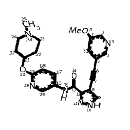 COc1cncc(C#Cc2c[nH]nc2C(=O)Nc2ccc(OC3CCN(C)CC3)nc2)c1